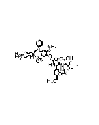 C=C(/C=C\C(O)=C/C)[C@@H](NC(=O)COc1cc2c(cc1SC)N(c1ccccc1)CC(CCCC)(CCCC)NS2(=O)=O)C(=O)N[C@H](C(=O)O)[C@@H](C)O